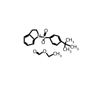 CC(C)(C)c1ccc(S(=O)(=O)N2CCc3ccccc32)cc1.CCOC=O